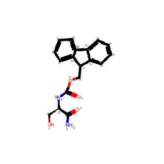 NC(=O)[C@@H](CO)NC(=O)OCC1c2ccccc2-c2ccccc21